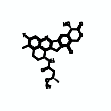 Cc1c(F)cc2nc3c(c4c2c1CC[C@@H]4NC(=O)C[C@H](C)OC(C)C)Cn1c-3cc2c(c1=O)COC(=O)[C@H]2O